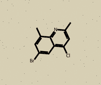 Cc1cc(Cl)c2cc(Br)cc(C)c2n1